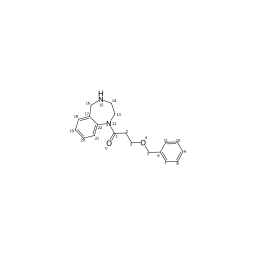 O=C(CCOCc1ccccc1)N1CCNCc2ccccc21